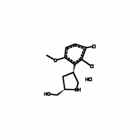 COc1ccc(Cl)c(Cl)c1[C@@H]1CN[C@H](CO)C1.Cl